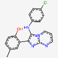 Cc1ccc(O)c(-c2nc3ncccn3c2Nc2ccc(Cl)cc2)c1